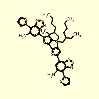 CCCCC(CC)C[Si]1(CC(CC)CCCC)c2cc(-c3cc(N)c(-c4cccs4)c4nsnc34)sc2-c2sc(-c3cc(N)c(-c4cccs4)c4nsnc34)cc21